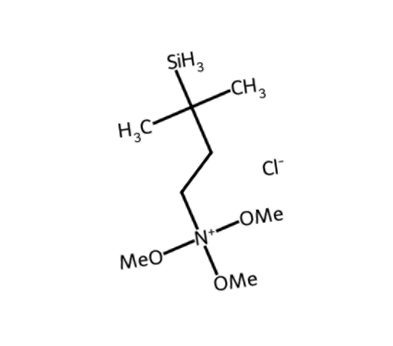 CO[N+](CCC(C)(C)[SiH3])(OC)OC.[Cl-]